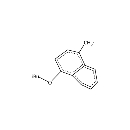 [CH2]c1ccc(OC(C)CC)c2ccccc12